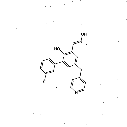 ON=Cc1cc(Cc2ccncc2)cc(-c2cccc(Cl)c2)c1O